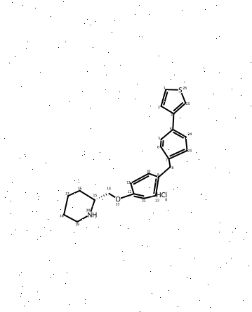 Cl.c1cc(-c2ccc(Cc3ccc(OC[C@H]4CCCCN4)cc3)cc2)cs1